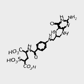 Nc1nc2c(c(=O)[nH]1)NC(CNc1ccc(C(=O)NC(CC(C(=O)O)S(=O)(=O)O)C(=O)O)cc1)CN2